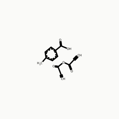 C#CC(=O)OC(=O)C#C.Cc1ccc(C(=O)O)cc1